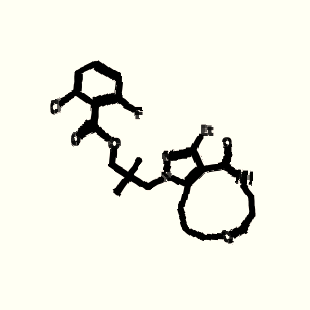 CCc1nn(CC(C)(C)COC(=O)c2c(F)cccc2Cl)c2c1C(=O)NCCCOCCC2